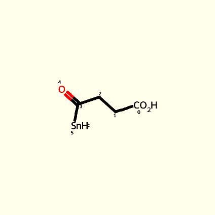 O=C(O)CC[C](=O)[SnH]